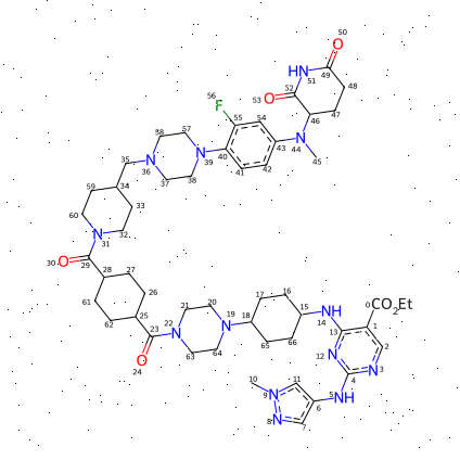 CCOC(=O)c1cnc(Nc2cnn(C)c2)nc1NC1CCC(N2CCN(C(=O)C3CCC(C(=O)N4CCC(CN5CCN(c6ccc(N(C)C7CCC(=O)NC7=O)cc6F)CC5)CC4)CC3)CC2)CC1